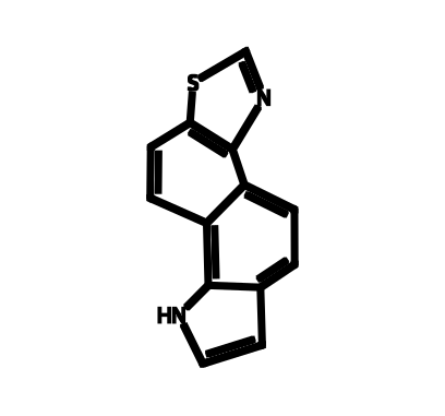 c1cc2ccc3c(ccc4scnc43)c2[nH]1